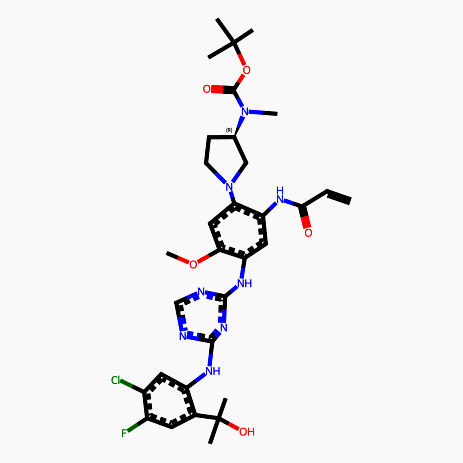 C=CC(=O)Nc1cc(Nc2ncnc(Nc3cc(Cl)c(F)cc3C(C)(C)O)n2)c(OC)cc1N1CC[C@@H](N(C)C(=O)OC(C)(C)C)C1